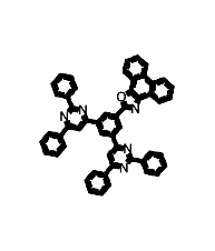 c1ccc(-c2cc(-c3cc(-c4cc(-c5ccccc5)nc(-c5ccccc5)n4)cc(-c4nc5c6ccccc6c6ccccc6c5o4)c3)nc(-c3ccccc3)n2)cc1